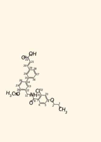 CCCOc1ccc(C(=O)NCc2cc(-c3cccc(C=CC(=O)O)c3)ccc2OC)c(Cl)c1